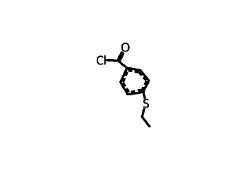 CCSc1ccc(C(=O)Cl)cc1